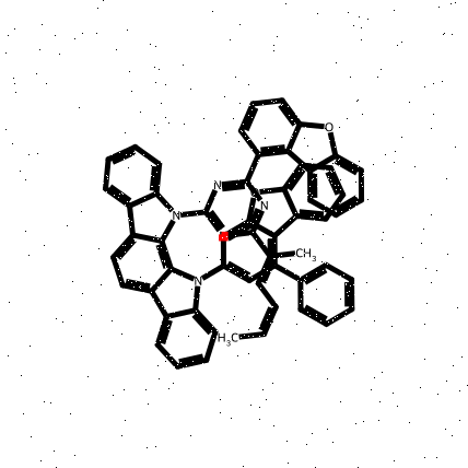 C/C=C\C=C(/C)c1nc(-c2cccc3oc4ccccc4c23)nc(-n2c3ccccc3c3ccc4c5ccccc5n(-c5cc(-c6ccccc6)c6c(c5)oc5ccccc56)c4c32)n1